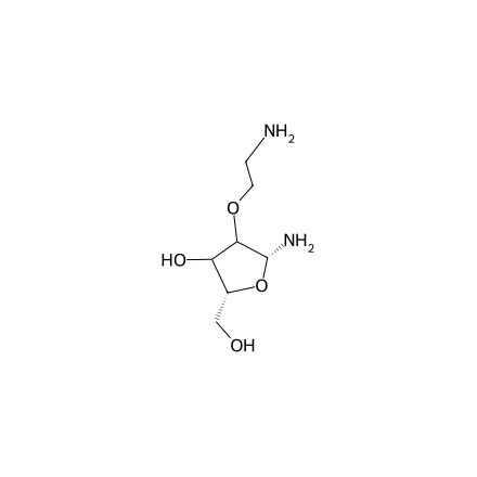 NCCOC1C(O)[C@@H](CO)O[C@H]1N